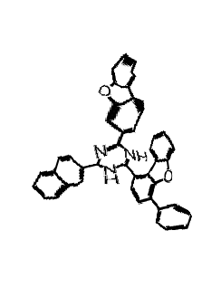 c1ccc(-c2ccc(C3NC(c4ccc5c(c4)oc4ccccc45)=NC(c4ccc5ccccc5c4)N3)c3c2oc2ccccc23)cc1